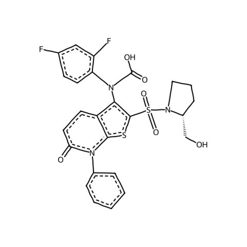 O=C(O)N(c1ccc(F)cc1F)c1c(S(=O)(=O)N2CCC[C@@H]2CO)sc2c1ccc(=O)n2-c1ccccc1